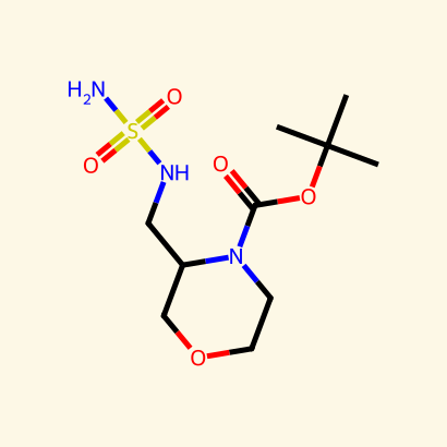 CC(C)(C)OC(=O)N1CCOCC1CNS(N)(=O)=O